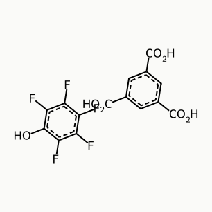 O=C(O)c1cc(C(=O)O)cc(C(=O)O)c1.Oc1c(F)c(F)c(F)c(F)c1F